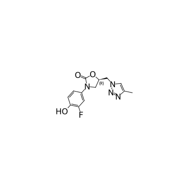 Cc1cn(C[C@H]2CN(c3ccc(O)c(F)c3)C(=O)O2)nn1